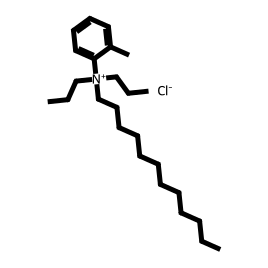 CCCCCCCCCCCC[N+](CCC)(CCC)c1ccccc1C.[Cl-]